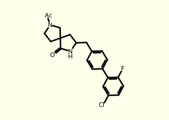 CC(=O)N1CCC2(CC(Cc3ccc(-c4cc(Cl)ccc4F)cc3)NC2=O)C1